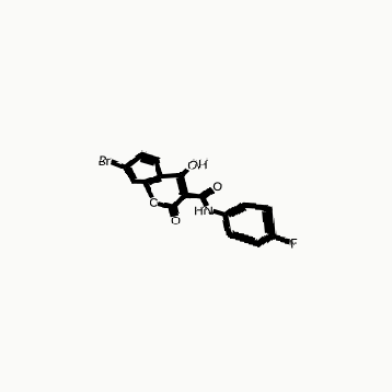 O=C(Nc1ccc(F)cc1)c1c(O)c2ccc(Br)cc2oc1=O